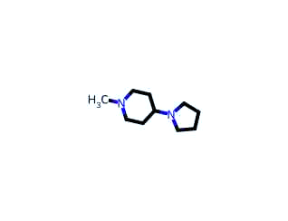 CN1CCC(N2CCCC2)CC1